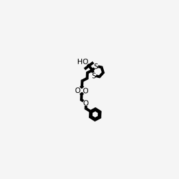 CC(C)(O)C1(CCCC2OC(COCc3ccccc3)O2)SCCCS1